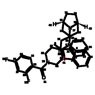 Cc1nc2ccccc2n1C1C[C@H]2CC[C@@H](C1)N2CCC1(c2ccccc2)CCN(C(=O)c2ccc(F)cc2F)CC1